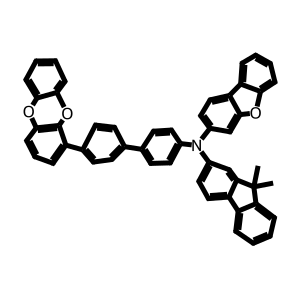 CC1(C)c2ccccc2-c2ccc(N(c3ccc(-c4ccc(-c5cccc6c5Oc5ccccc5O6)cc4)cc3)c3ccc4c(c3)oc3ccccc34)cc21